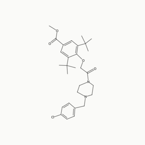 COC(=O)c1cc(C(C)(C)C)c(OCC(=O)N2CCN(Cc3ccc(Cl)cc3)CC2)c(C(C)(C)C)c1